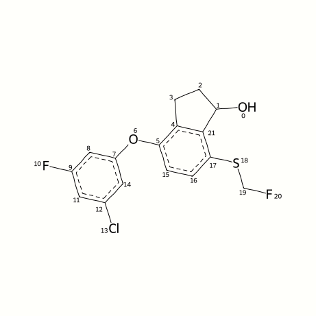 OC1CCc2c(Oc3cc(F)cc(Cl)c3)ccc(SCF)c21